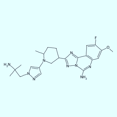 COc1cc2nc(N)n3nc(C4CCC(C)N(c5cnn(CC(C)(C)N)c5)C4)nc3c2cc1F